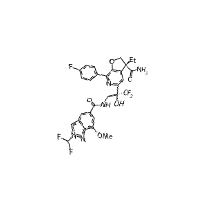 CC[C@]1(C(N)=O)COc2c1cc([C@@](O)(CNC(=O)c1cc(OC)c3nn(C(F)F)cc3c1)C(F)(F)F)nc2-c1ccc(F)cc1